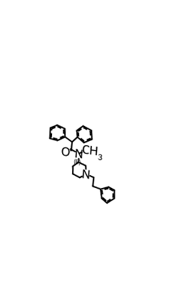 CN(C(=O)C(c1ccccc1)c1ccccc1)[C@@H]1CCCN(CCc2ccccc2)C1